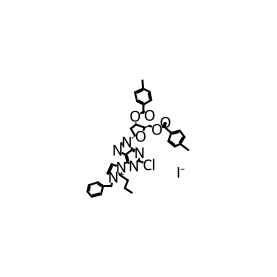 CCCc1n(-c2nc(Cl)nc3c2ncn3[C@@H]2C[C@H](OC(=O)c3ccc(C)cc3)[C@@H](COC(=O)c3ccc(C)cc3)O2)cc[n+]1Cc1ccccc1.[I-]